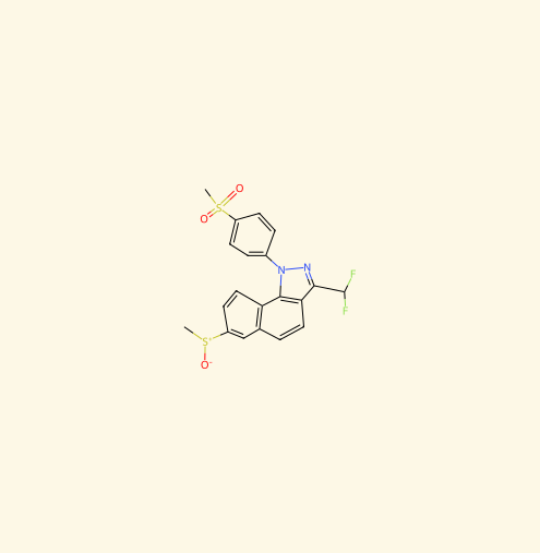 C[S+]([O-])c1ccc2c(ccc3c(C(F)F)nn(-c4ccc(S(C)(=O)=O)cc4)c32)c1